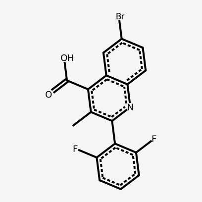 Cc1c(-c2c(F)cccc2F)nc2ccc(Br)cc2c1C(=O)O